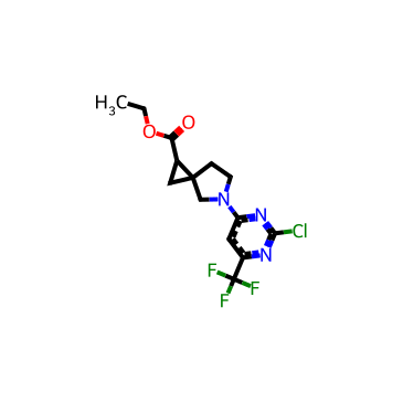 CCOC(=O)C1CC12CCN(c1cc(C(F)(F)F)nc(Cl)n1)C2